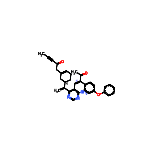 C=C(c1ncnc(N)c1/C=C(/C(C)=O)c1ccc(Oc2ccccc2)cc1)[C@@H]1CCC=C(CC(=O)C#CC)C1